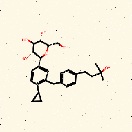 CC(C)(O)CCc1ccc(Cc2cc([C@@H]3O[C@H](CO)[C@@H](O)C(O)[C@H]3O)ccc2C2CC2)cc1